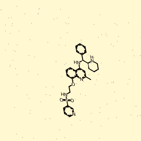 Cc1cc(N[C@@H](c2ccccc2)[C@@H]2CCCCN2)c2cccc(OCCNS(=O)(=O)c3cccnc3)c2n1